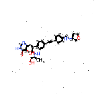 CC(CO)NCC(Cc1nc[nH]c(=O)c1O)c1ccc(C#Cc2ccc(CN[C@H]3CCOC3)cc2)cc1